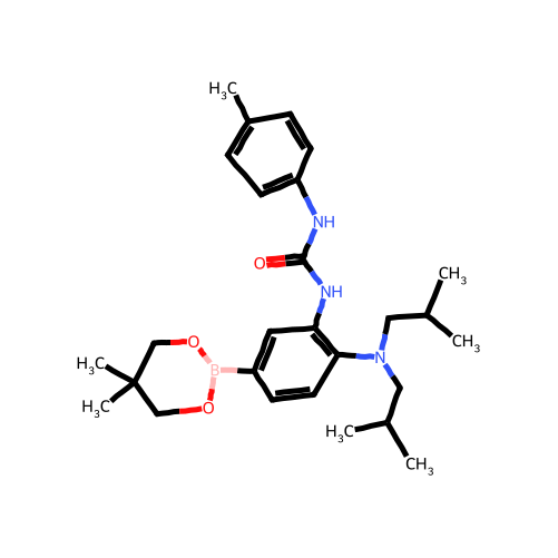 Cc1ccc(NC(=O)Nc2cc(B3OCC(C)(C)CO3)ccc2N(CC(C)C)CC(C)C)cc1